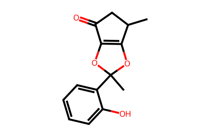 CC1CC(=O)C2=C1OC(C)(c1ccccc1O)O2